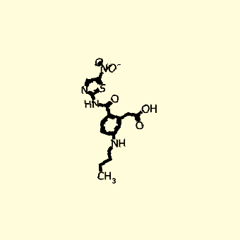 CCCCNc1ccc(C(=O)Nc2ncc([N+](=O)[O-])s2)c(CC(=O)O)c1